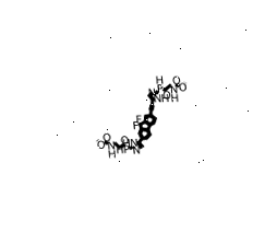 COC(=O)NCCC(=O)Pc1ncc(-c2ccc3c(c2)C(F)(F)c2cc(C#Cc4cnc(PC(=O)CNC(=O)OC)[nH]4)ccc2-3)[nH]1